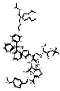 CCCC[N+](CCCC)(CCCC)CCCC.COc1ccc(COC(=O)C2=CCS[C@H]3[C@H](NC(=O)/C(=N\O[C@H](SC)C(=O)OC(C)(C)C)c4csc(NC(c5ccccc5)(c5ccccc5)c5ccccc5)n4)C(=O)N23)cc1